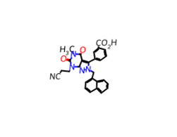 Cn1c(=O)c2c(-c3cccc(C(=O)O)c3)n(Cc3cccc4ccccc34)nc2n(CCC#N)c1=O